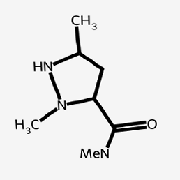 CNC(=O)C1CC(C)NN1C